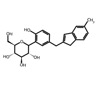 Cc1ccc2c(c1)C=C(Cc1ccc(O)c(C3O[C@H](CO)[C@@H](O)[C@H](O)[C@H]3O)c1)C2